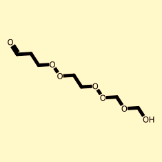 O=CCCOOCCOOCOCO